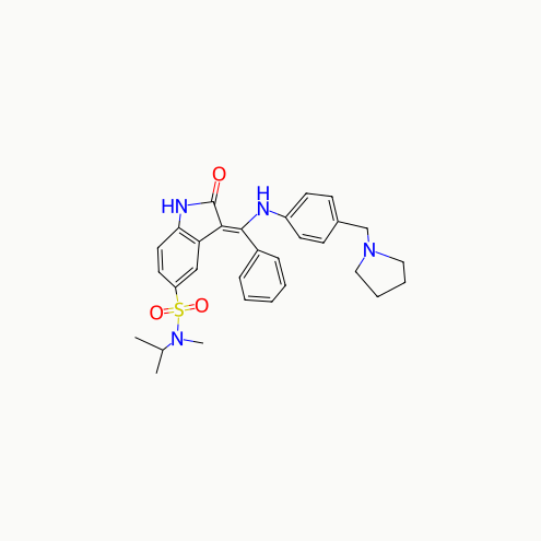 CC(C)N(C)S(=O)(=O)c1ccc2c(c1)/C(=C(/Nc1ccc(CN3CCCC3)cc1)c1ccccc1)C(=O)N2